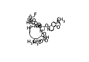 CC[C@@H]1C[C@H](C)CC/C=C\[C@@H]2C[C@@]2(C(=O)NS(=O)(=O)C2(CF)CC2)NC(=O)[C@@H]2C[C@@H](Oc3nccc4c5c(ccc34)N(C)CCO5)CN2C(=O)[C@H]1NC(=O)O